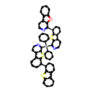 c1ccc([Si](c2ccccc2)(c2nccc3c2sc2c(-c4nccc5c4oc4ccccc45)cccc23)c2nccc3c2sc2c(-c4cccc5c4sc4ccccc45)cccc23)cc1